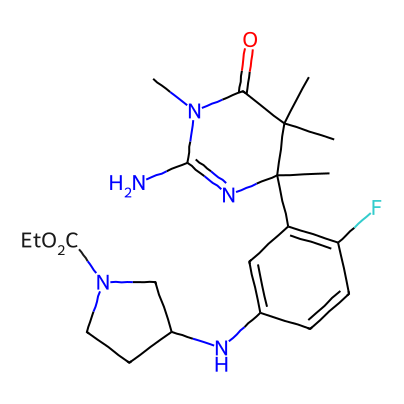 CCOC(=O)N1CCC(Nc2ccc(F)c(C3(C)N=C(N)N(C)C(=O)C3(C)C)c2)C1